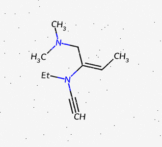 C#CN(CC)/C(=C/C)CN(C)C